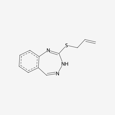 C=CCSC1=Nc2ccccc2C=NN1